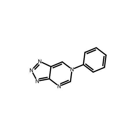 c1ccc(-n2cnc3nnnc-3c2)cc1